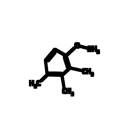 Cc1ccc(O[SiH3])c(C)c1C